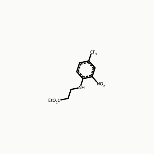 CCOC(=O)CCNc1ccc(C(F)(F)F)cc1[N+](=O)[O-]